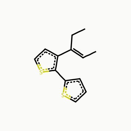 C/C=C(\CC)c1ccsc1-c1cccs1